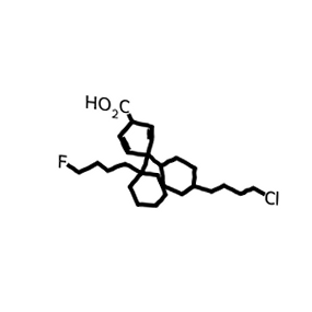 O=C(O)C1C=CC(C2CCC(CCCCCl)CC2)(C2(CCCCF)CCCCC2)C=C1